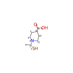 CC(S)N1CCC(C(=O)O)CC1